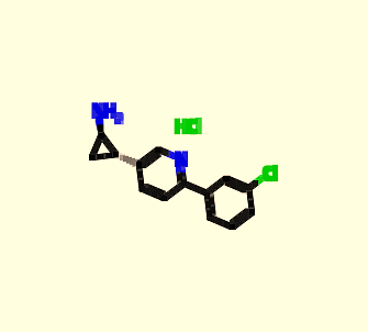 Cl.N[C@@H]1C[C@H]1c1ccc(-c2cccc(Cl)c2)nc1